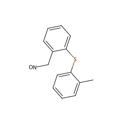 Cc1ccccc1Sc1ccccc1CN=O